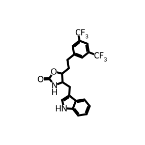 O=C1NC(Cc2c[nH]c3ccccc23)C(CCc2cc(C(F)(F)F)cc(C(F)(F)F)c2)O1